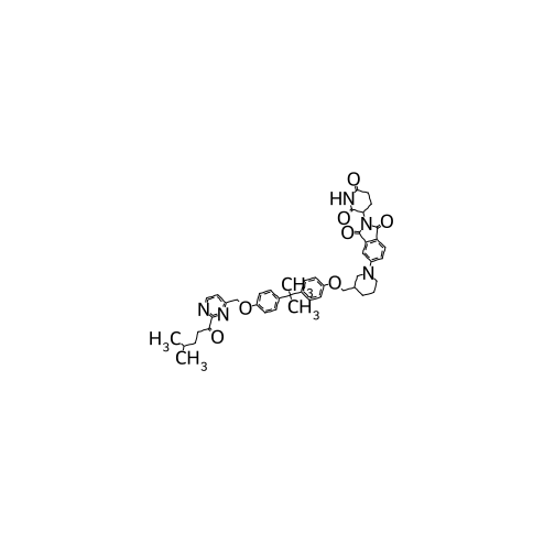 CC(C)CCC(=O)c1nccc(COc2ccc(C(C)(C)c3ccc(OCC4CCCN(c5ccc6c(c5)C(=O)N(C5CCC(=O)NC5=O)C6=O)C4)cc3)cc2)n1